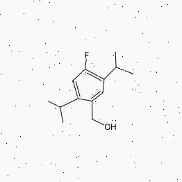 CC(C)c1cc(CO)c(C(C)C)cc1F